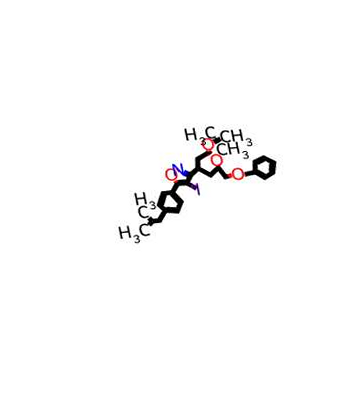 CC(C)Cc1ccc(-c2onc(C(CCCOCc3ccccc3)CC(=O)OC(C)(C)C)c2I)cc1